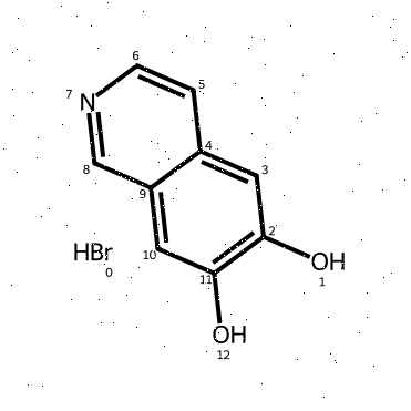 Br.Oc1cc2ccncc2cc1O